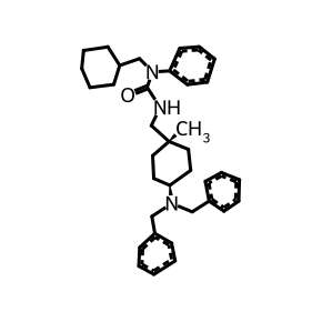 C[C@]1(CNC(=O)N(CC2CCCCC2)c2ccccc2)CC[C@H](N(Cc2ccccc2)Cc2ccccc2)CC1